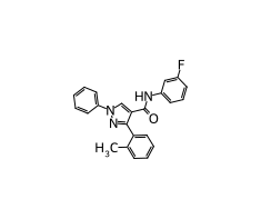 Cc1ccccc1-c1nn(-c2ccccc2)cc1C(=O)Nc1cccc(F)c1